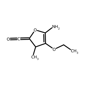 CCOC1=C(N)OC(=C=O)C1C